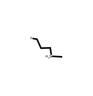 C[SiH2]CCCF